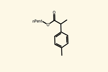 CCCCCOC(=O)C(C)c1ccc(C)cc1